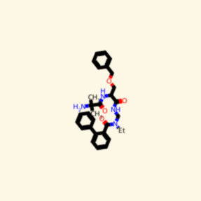 CCN(CNC(=O)C(COCc1ccccc1)NC(=O)C(C)(C)N)C(=O)c1ccccc1-c1ccccc1